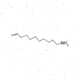 C=CCCCCCCCCCN